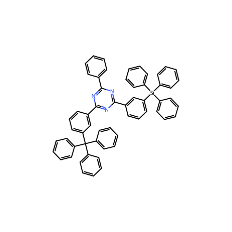 c1ccc(-c2nc(-c3cccc(C(c4ccccc4)(c4ccccc4)c4ccccc4)c3)nc(-c3cccc([Si](c4ccccc4)(c4ccccc4)c4ccccc4)c3)n2)cc1